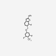 CCCc1cc2ccc(COc3cc(F)c(C(F)(F)F)c(F)c3)c(F)c2s1